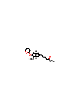 COC(=O)CCCCC1=C[C@@H]2C[C@H](OC3CCCCO3)[C@H](C=O)[C@@H]2C1